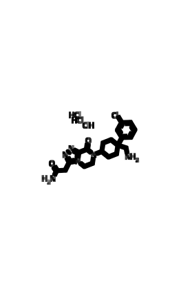 Cl.Cl.Cl.NCC1(c2cccc(Cl)c2)CCC(N2CCn3c(CC(N)=O)nnc3C2=O)CC1